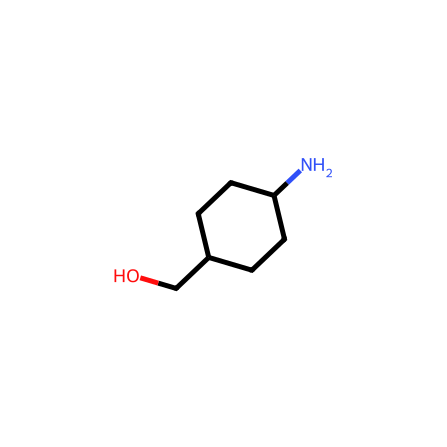 NC1CCC(CO)CC1